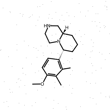 COc1ccc([C@H]2CCC[C@H]3CNCCN32)c(C)c1C